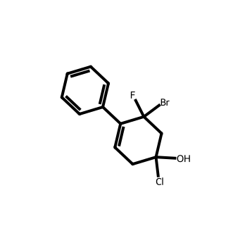 OC1(Cl)CC=C(c2ccccc2)C(F)(Br)C1